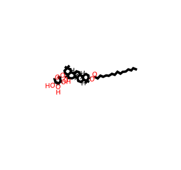 CCCCCCCCCCCCCCCC(=O)O[C@H]1CC[C@]2(C)[C@H]3CC=C4[C@@H]5CC(C)(C)CC[C@]5(C(=O)O[C@@H]5OC[C@H](O)[C@H](O)[C@H]5O)CC[C@@]4(C)[C@]3(C)CC[C@H]2C1(C)C